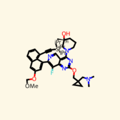 COCOc1cc(-c2ncc3c(N4CCC[C@@](C)(O)C4)nc(OCC4(CN(C)C)CC4)nc3c2F)c2c(C#C[Si](C(C)C)(C(C)C)C(C)C)cccc2c1